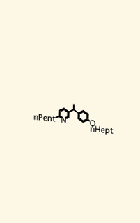 CCCCCCCOc1ccc(C(C)c2ccc(CCCCC)nc2)cc1